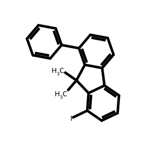 CC1(C)c2c(I)cccc2-c2cccc(-c3ccccc3)c21